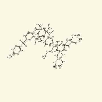 COP1(OC)=NP(OC)(Oc2ccc(C(C)(C)c3ccc(O)cc3)cc2)=NP(OC)(Oc2ccc(OP3(SCCS)=NP(SCCS)(SCCS)=NP(SCCS)(SCCS)=N3)cc2)=N1